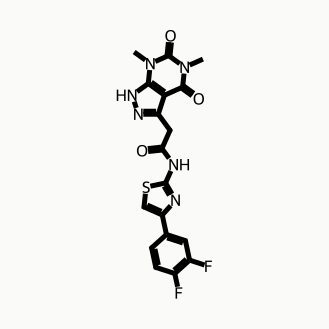 Cn1c(=O)c2c(CC(=O)Nc3nc(-c4ccc(F)c(F)c4)cs3)n[nH]c2n(C)c1=O